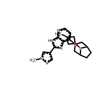 CC1CC(N2C3CCC2CN(c2ccnc4[nH]c(-c5cnn(C)c5)nc24)C3)C1